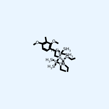 CCO[SiH](OCC)[Si](CCc1ccc(OC)c(C)c1OC)([Si]([SiH3])([SiH3])[SiH3])[Si]([SiH3])([SiH3])OCC